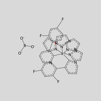 Fc1ccc(-c2cccn[c]2[Ir-3]([c]2ncccc2-c2ccc(F)cc2F)([n]2cccn2)([n]2cccn2)([n]2cccn2)[n]2cccn2)c(F)c1.[O-]B([O-])[O-]